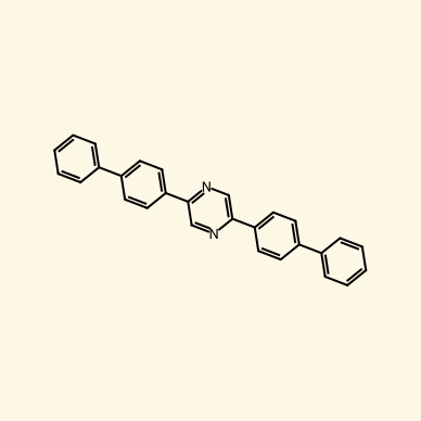 c1ccc(-c2ccc(-c3cnc(-c4ccc(-c5ccccc5)cc4)cn3)cc2)cc1